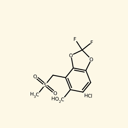 CS(=O)(=O)Cc1c(C(=O)O)ccc2c1OC(F)(F)O2.Cl